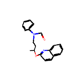 CC(CCN(C=O)c1ccccc1)Oc1ccc2ccccc2n1